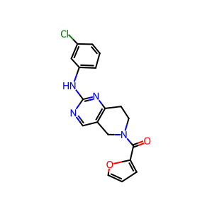 O=C(c1ccco1)N1CCc2nc(Nc3cccc(Cl)c3)ncc2C1